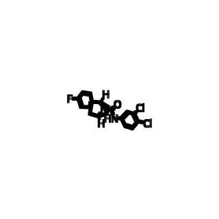 O=C(Nc1ccc(Cl)c(Cl)c1)N1[C@@H]2CC[C@H]1c1ccc(F)cc1C2